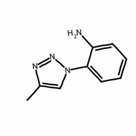 Cc1cn(-c2ccccc2N)nn1